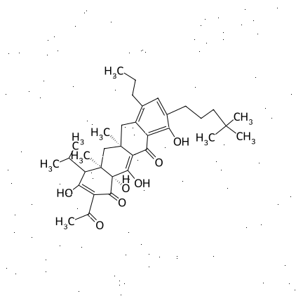 CCCc1cc(CCCC(C)(C)C)c(O)c2c1C[C@]1(C)C[C@]3(C)C(C(C)C)C(O)=C(C(C)=O)C(=O)[C@]3(O)C(O)=C1C2=O